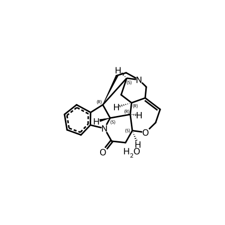 O.O=C1C[C@@H]2OCC=C3CN4CC[C@]56c7ccccc7N1[C@H]5[C@H]2[C@H]3C[C@H]46